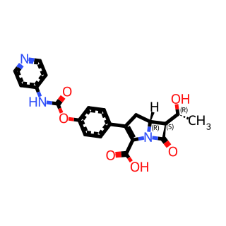 C[C@@H](O)[C@H]1C(=O)N2C(C(=O)O)=C(c3ccc(OC(=O)Nc4ccncc4)cc3)C[C@H]12